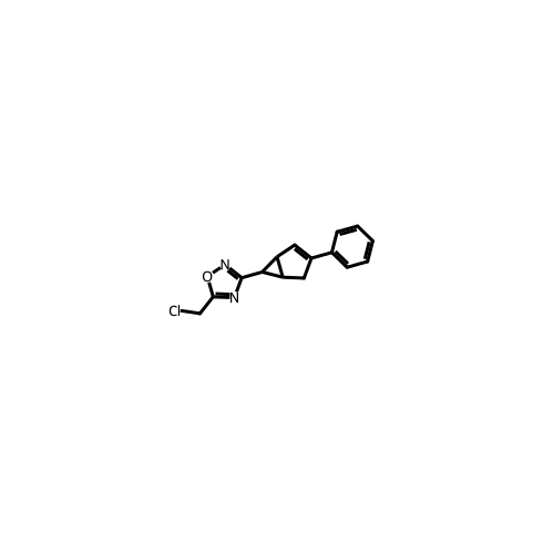 ClCc1nc(C2C3C=C(c4ccccc4)CC32)no1